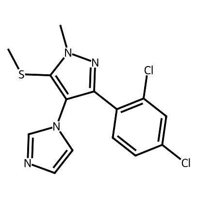 CSc1c(-n2ccnc2)c(-c2ccc(Cl)cc2Cl)nn1C